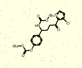 CC(C)(C)OC(=O)NC(CCC(=O)c1sccc1Cl)c1ccc(OC(=O)OC(C)(C)C)cc1